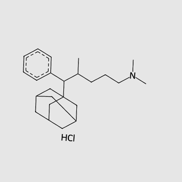 CC(CCCN(C)C)C(c1ccccc1)C12CC3CC(CC(C3)C1)C2.Cl